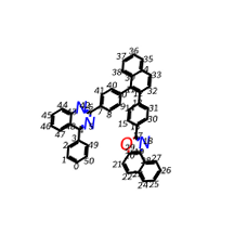 c1ccc(-c2nc(-c3ccc(-c4c(-c5ccc(-c6nc7c(ccc8ccccc87)o6)cc5)ccc5ccccc45)cc3)nc3ccccc23)cc1